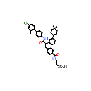 Cc1cc(Cl)ccc1-c1ccc(NC(=O)C(Cc2ccc(C(=O)NCCS(=O)(=O)O)cc2)c2cccc(C3CCC(C)(C)CC3)c2)cc1